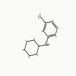 Clc1cccc(NC2CCCCC2)c1